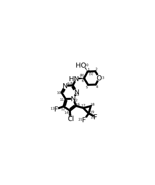 O[C@@H]1COCC[C@H]1Nc1ncc2c(F)c(Cl)c(C3CC3(F)F)n2n1